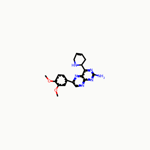 COc1ccc(-c2cnc3nc(N)nc(C4CC=CCN4)c3n2)cc1OC